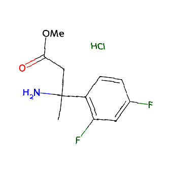 COC(=O)CC(C)(N)c1ccc(F)cc1F.Cl